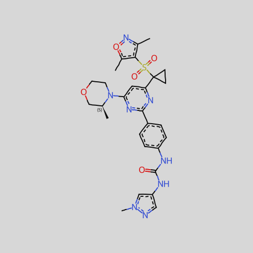 Cc1noc(C)c1S(=O)(=O)C1(c2cc(N3CCOC[C@@H]3C)nc(-c3ccc(NC(=O)Nc4cnn(C)c4)cc3)n2)CC1